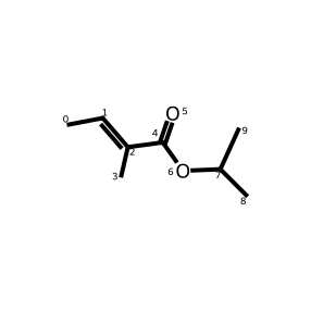 C/C=C(\C)C(=O)OC(C)C